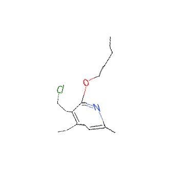 CCCCOc1nc(C)cc(C)c1CCl